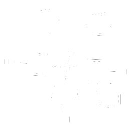 Cc1ccc([Si](Cl)(c2ccc(C)cc2Cc2ccccc2)c2ccc(C)cc2Cc2ccccc2)c(Cc2ccccc2)c1